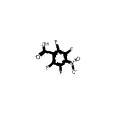 O=C(O)c1c(F)c(F)c([N+](=O)[O-])c(F)c1F